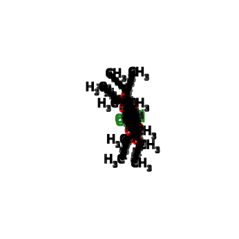 CCCCCCCCCCC(CCCCCCCC)COc1cc(C)c(N2C(=O)c3cc(Cl)c4c5c(Cl)cc6c7c(cc(Cl)c(c8c(Cl)cc(c3c48)C2=O)c75)C(=O)N(c2cc(OCC(C)CCCCCCCC)c(OCC(C)CCCCCCCC)cc2C)C6=O)cc1OCC(C)CCCCCCCC